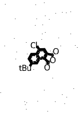 CC(C)(C)c1ccc2c(Cl)cc3c(c2c1)C(=O)OC3=O